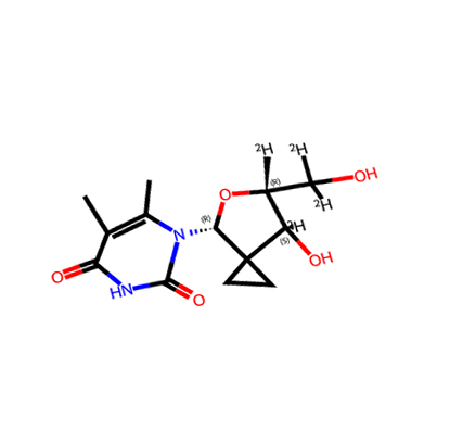 [2H]C([2H])(O)[C@@]1([2H])O[C@@H](n2c(C)c(C)c(=O)[nH]c2=O)C2(CC2)[C@]1([2H])O